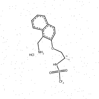 C[C@@H](COc1ccc2ccccc2c1CN)NS(=O)(=O)C(F)(F)F.Cl